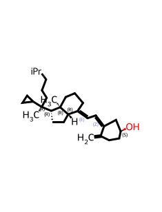 C=C1CC[C@H](O)C/C1=C/C=C1\CCC[C@@]2(C)[C@H]1CC[C@@H]2[C@](C)(CCCC(C)C)C1CC1